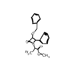 COC(=O)C(C)N1C(=O)C(OCc2ccccc2)C1c1ccccc1